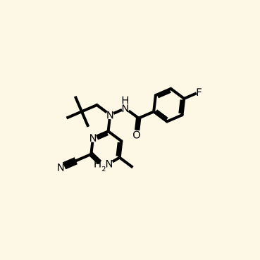 C=C(C#N)/N=C(\C=C(\C)N)N(CC(C)(C)C)NC(=O)c1ccc(F)cc1